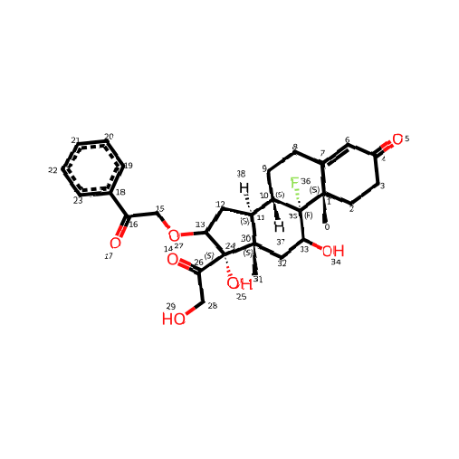 C[C@]12CCC(=O)C=C1CC[C@H]1[C@@H]3CC(OCC(=O)c4ccccc4)[C@](O)(C(=O)CO)[C@@]3(C)CC(O)[C@@]12F